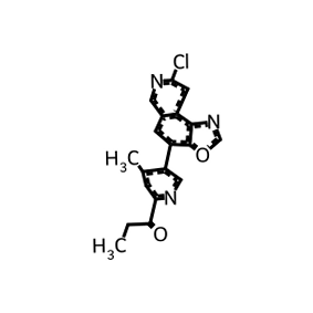 CCC(=O)c1cc(C)c(-c2cc3cnc(Cl)cc3c3ncoc23)cn1